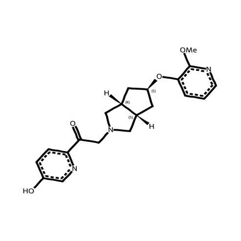 COc1ncccc1O[C@H]1C[C@@H]2CN(CC(=O)c3ccc(O)cn3)C[C@@H]2C1